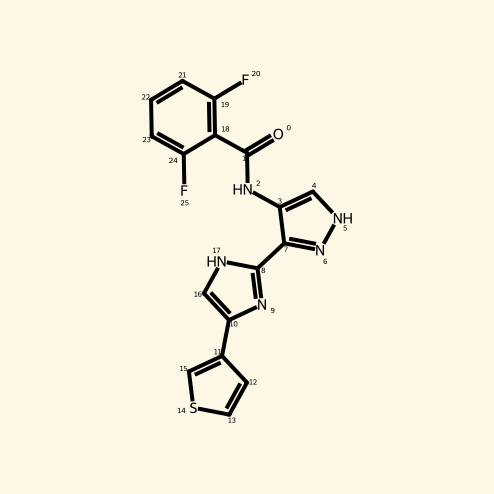 O=C(Nc1c[nH]nc1-c1nc(-c2ccsc2)c[nH]1)c1c(F)cccc1F